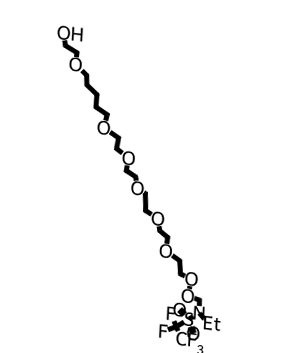 CCN(COOCCOCCOCCOCCOCCOCCCCCOCCO)S(=O)(=O)C(F)(F)C(F)(F)F